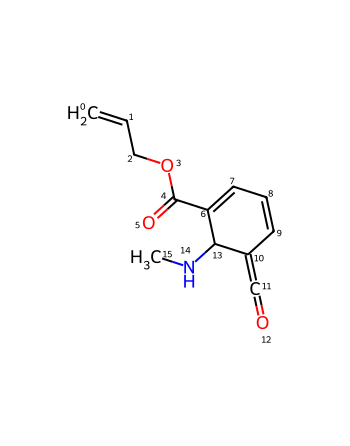 C=CCOC(=O)C1=CC=CC(=C=O)C1NC